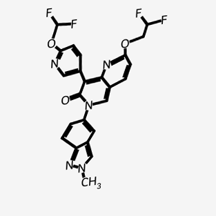 Cn1cc2cc(-n3cc4ccc(OCC(F)F)nc4c(-c4ccc(OC(F)F)nc4)c3=O)ccc2n1